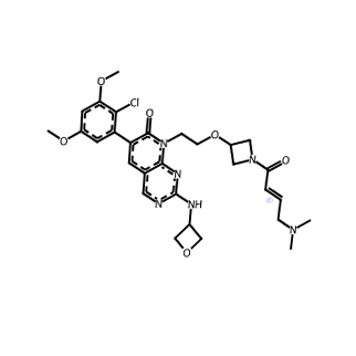 COc1cc(OC)c(Cl)c(-c2cc3cnc(NC4COC4)nc3n(CCOC3CN(C(=O)/C=C/CN(C)C)C3)c2=O)c1